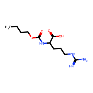 CCCCOC(=O)NC(CCCNC(=N)N)C(=O)O